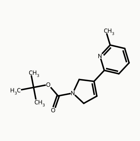 Cc1cccc(C2=CCN(C(=O)OC(C)(C)C)C2)n1